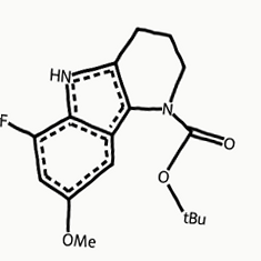 COc1cc(F)c2[nH]c3c(c2c1)N(C(=O)OC(C)(C)C)CCC3